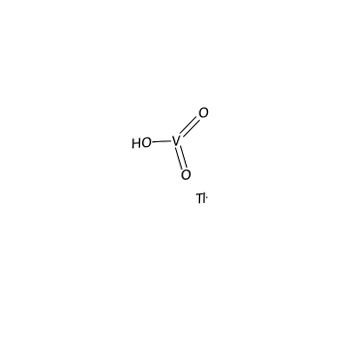 [O]=[V](=[O])[OH].[Tl]